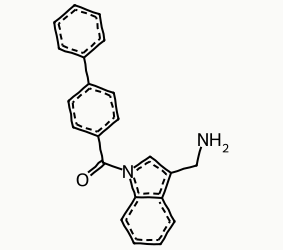 NCc1cn(C(=O)c2ccc(-c3ccccc3)cc2)c2ccccc12